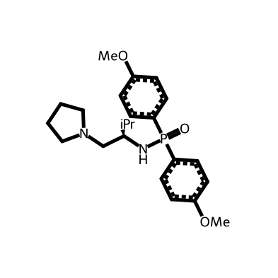 COc1ccc(P(=O)(N[C@@H](CN2CCCC2)C(C)C)c2ccc(OC)cc2)cc1